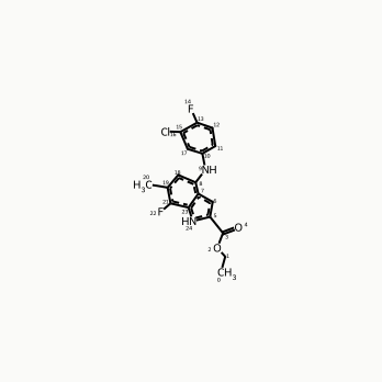 CCOC(=O)c1cc2c(Nc3ccc(F)c(Cl)c3)cc(C)c(F)c2[nH]1